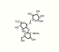 CC(=O)N[C@H]1[C@H](O[C@@H]2[C@@H](OC[C@H]3O[C@@H](O)[C@@H](O)[C@@H](O)[C@@H]3O)O[C@H](C)[C@@H](O)[C@@H]2O)O[C@H](CO)C[C@@H]1O